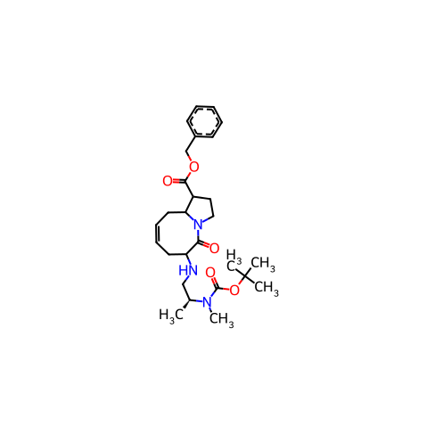 C[C@@H](CNC1CC=CCC2C(C(=O)OCc3ccccc3)CCN2C1=O)N(C)C(=O)OC(C)(C)C